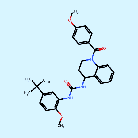 COc1ccc(C(=O)N2CCC(NC(=O)Nc3cc(C(C)(C)C)ccc3OC)c3ccccc32)cc1